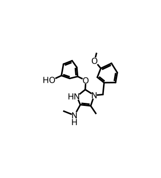 CNC1=C(C)N(Cc2cccc(OC)c2)C(Oc2cccc(O)c2)N1